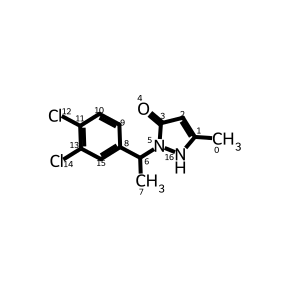 Cc1cc(=O)n(C(C)c2ccc(Cl)c(Cl)c2)[nH]1